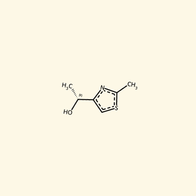 Cc1nc([C@@H](C)O)cs1